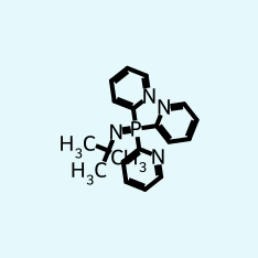 CC(C)(C)N=P(c1ccccn1)(c1ccccn1)c1ccccn1